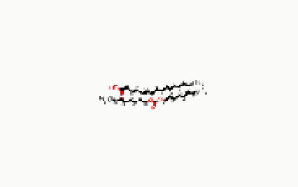 CCCCCCCCCCCCCCCC(=O)O.CCCCCCCCOC(=O)OCCCCCCCC